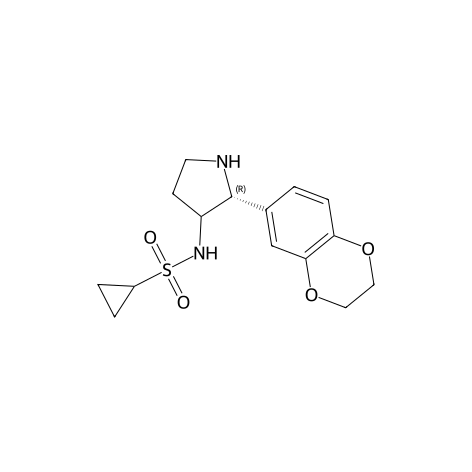 O=S(=O)(NC1CCN[C@@H]1c1ccc2c(c1)OCCO2)C1CC1